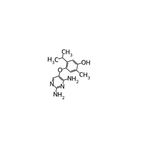 Cc1cc(Oc2cnc(N)nc2N)c(C(C)C)cc1O